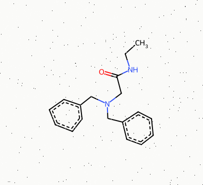 CCNC(=O)CN(Cc1ccccc1)Cc1ccccc1